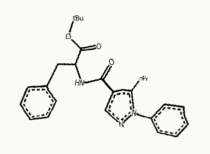 CCCc1c(C(=O)NC(Cc2ccccc2)C(=O)OC(C)(C)C)cnn1-c1ccccc1